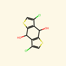 OC1c2scc(Cl)c2C(O)c2scc(Cl)c21